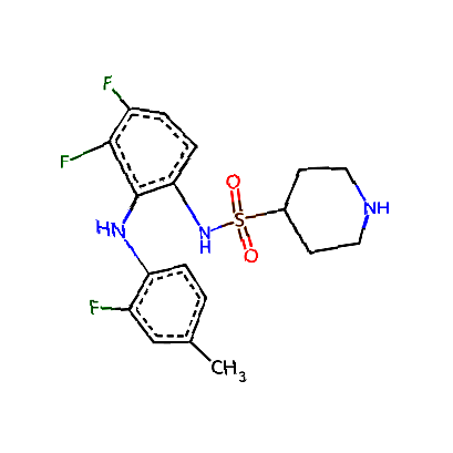 Cc1ccc(Nc2c(NS(=O)(=O)C3CCNCC3)ccc(F)c2F)c(F)c1